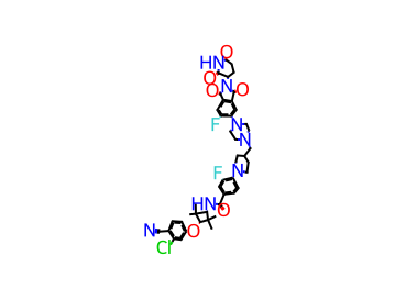 CC1(C)[C@H](NC(=O)c2ccc(N3CCC(CN4CCN(c5cc6c(cc5F)C(=O)N(C5CCC(=O)NC5=O)C6=O)CC4)CC3)c(F)c2)C(C)(C)[C@H]1Oc1ccc(C#N)c(Cl)c1